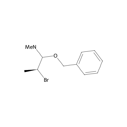 CNC(OCc1ccccc1)[C@H](C)Br